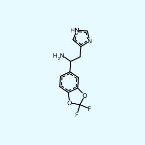 NC(Cc1c[nH]cn1)c1ccc2c(c1)OC(F)(F)O2